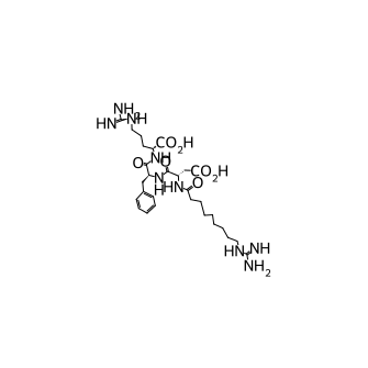 N=C(N)NCCCCCCCCC(=O)N[C@@H](CC(=O)O)C(=O)N[C@@H](Cc1ccccc1)C(=O)N[C@@H](CCCNC(=N)N)C(=O)O